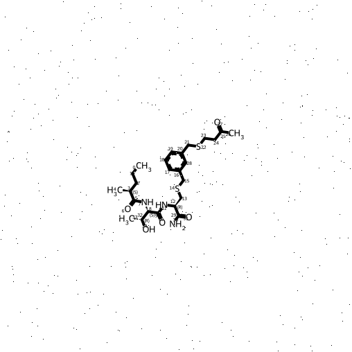 CCC[C@H](C)C(=O)N[C@H](C(=O)N[C@@H](CSCc1cccc(CSCCC(C)=O)c1)C(N)=O)[C@@H](C)O